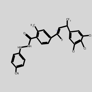 N#Cc1ccc(NNC(=O)c2ccc(/C(F)=C/C(c3cc(Cl)c(Cl)c(Cl)c3)C(F)(F)F)cc2C(F)(F)F)cc1